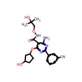 CC(C)(O)CONC(=O)c1c(N)nc(-c2cccc(C#N)c2)nc1OC1CCC(O)C1